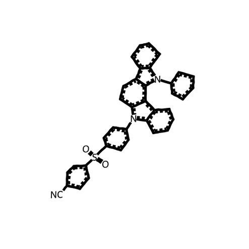 N#Cc1ccc(S(=O)(=O)c2ccc(-n3c4ccccc4c4c3ccc3c5ccccc5n(-c5ccccc5)c34)cc2)cc1